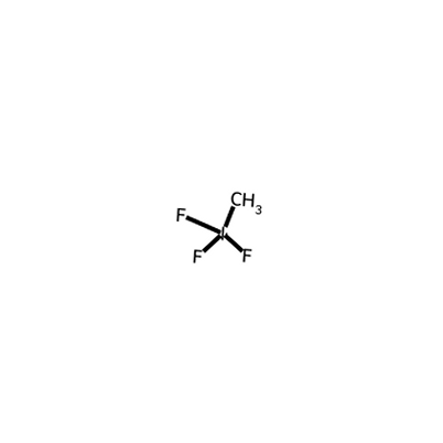 C[I](F)(F)F